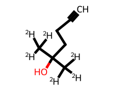 [2H]C([2H])([2H])C(O)(CCC#C)C([2H])([2H])[2H]